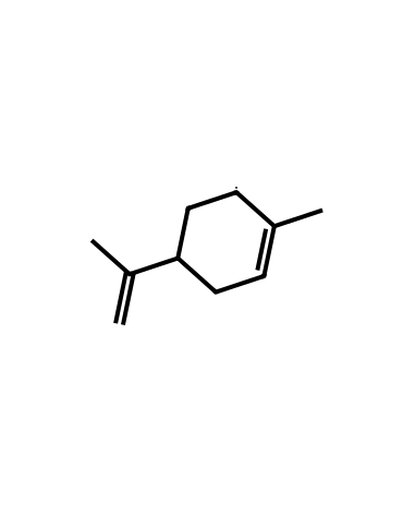 C=C(C)C1C[CH]C(C)=CC1